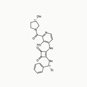 CC[C@@H](Nc1c(Nc2ccnc(C(=O)N3CC[C@H](O)C3)c2O)c(=O)c1=O)c1ccccc1